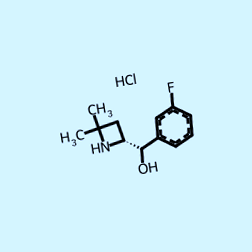 CC1(C)C[C@H](C(O)c2cccc(F)c2)N1.Cl